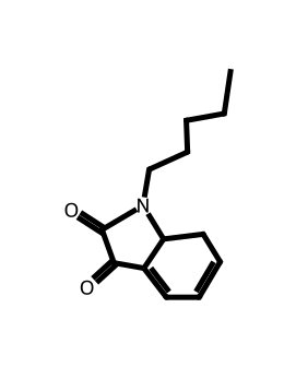 CCCCCN1C(=O)C(=O)C2=CC=CCC21